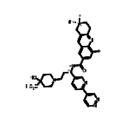 CC(C)[C@]1(F)CCc2nc3c(F)cc(C(=O)N[C@H](CCN4CCC(O)(C(=O)O)CC4)c4ccc(-c5ccnnc5)nc4)cc3cc2C1